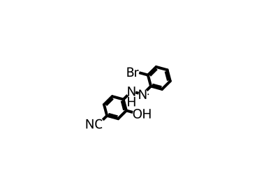 N#Cc1ccc(N[N]c2ccccc2Br)c(O)c1